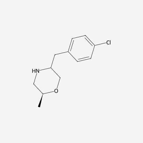 C[C@H]1CNC(Cc2ccc(Cl)cc2)CO1